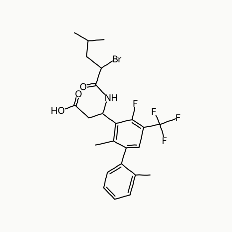 Cc1ccccc1-c1cc(C(F)(F)F)c(F)c(C(CC(=O)O)NC(=O)C(Br)CC(C)C)c1C